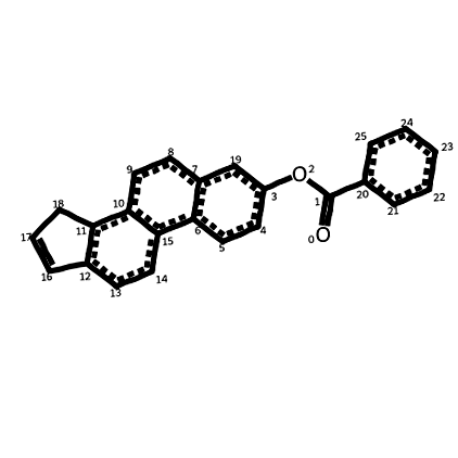 O=C(Oc1ccc2c(ccc3c4c(ccc32)C=CC4)c1)c1ccccc1